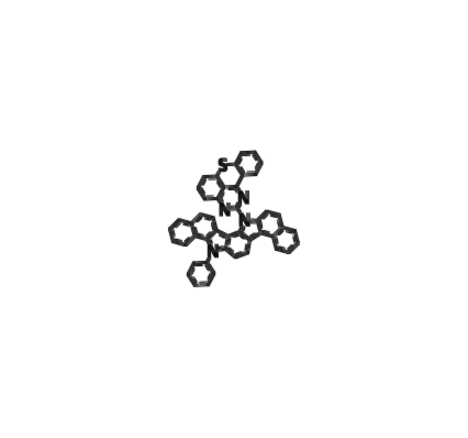 c1ccc(-n2c3ccc4c5c6ccccc6ccc5n(-c5nc6c7c(cccc7n5)Sc5ccccc5-6)c4c3c3ccc4ccccc4c32)cc1